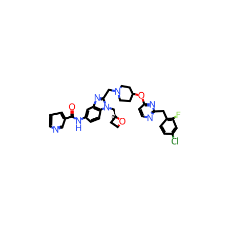 O=C(Nc1ccc2c(c1)nc(CN1CCC(Oc3ccnc(Cc4ccc(Cl)cc4F)n3)CC1)n2C[C@@H]1CCO1)c1cccnc1